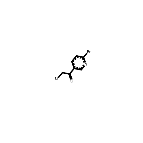 O=C(CCl)c1ccc(Br)nc1